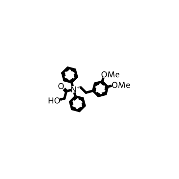 COc1ccc(CC[N+](C(=O)CO)(c2ccccc2)c2ccccc2)cc1OC